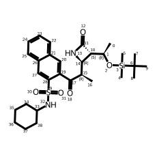 C[C@@H](O[Si](C)(C)C(C)(C)C)[C@H]1C(=O)N[C@@H]1[C@@H](C)C(=O)c1cc2ccccc2cc1S(=O)(=O)NC1CCCCC1